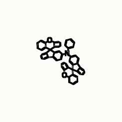 c1ccc(N(c2ccc3c(c2)C2(c4ccccc4Oc4ccccc42)c2ccccc2-3)c2ccc3c(c2)C2(c4ccccc4Oc4ccccc42)c2ccccc2-3)cc1